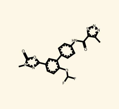 Cc1nnsc1C(=O)Nc1ccc(-c2cc(-c3nn(C)c(=O)o3)ccc2OC(F)F)cc1